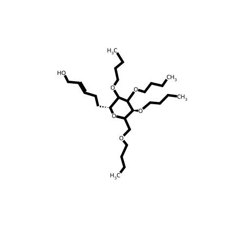 CCCCOCC1O[C@H](CC/C=C/CO)C(OCCCC)C(OCCCC)[C@H]1OCCCC